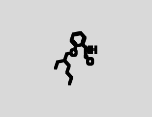 CCCCC(CC)COc1ccccc1NC=O